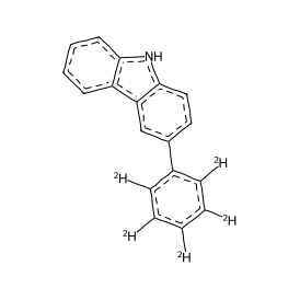 [2H]c1c([2H])c([2H])c(-c2ccc3[nH]c4ccccc4c3c2)c([2H])c1[2H]